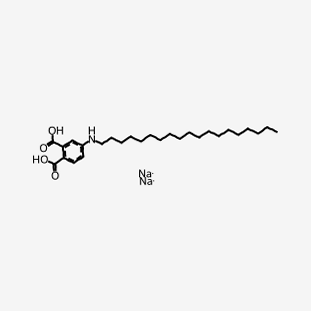 CCCCCCCCCCCCCCCCCCCNc1ccc(C(=O)O)c(C(=O)O)c1.[Na].[Na]